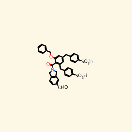 O=Cc1ccc2c(c1)CN(C(=O)c1c(Cc3ccc(S(=O)(=O)O)cc3)cc(Cc3ccc(S(=O)(=O)O)cc3)cc1OCc1ccccc1)C2